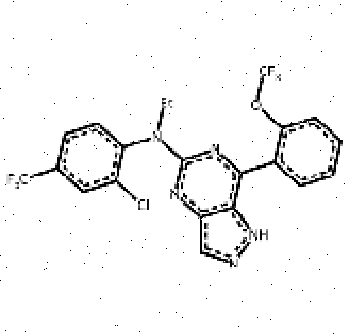 CCN(c1nc(-c2ccccc2OC(F)(F)F)c2[nH]ncc2n1)c1ccc(C(F)(F)F)cc1Cl